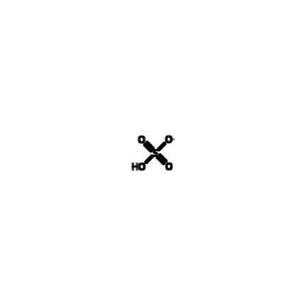 [O]S(=O)(=O)O